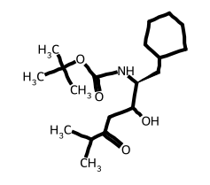 CC(C)C(=O)CC(O)[C@H](CC1CCCCC1)NC(=O)OC(C)(C)C